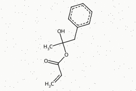 C=CC(=O)OC(C)(O)Cc1ccccc1